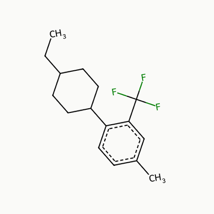 CCC1CCC(c2ccc(C)cc2C(F)(F)F)CC1